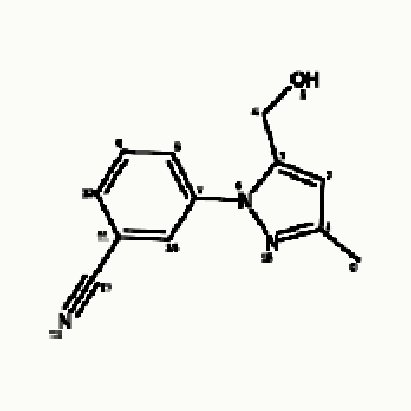 Cc1cc(CO)n(-c2cccc(C#N)c2)n1